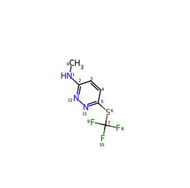 CNc1ccc(SC(F)(F)F)nn1